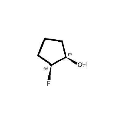 O[C@@H]1CCC[C@@H]1F